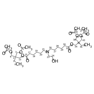 CCC(COC(C)=O)(COC(C)=O)COC(=O)CCCCCN(CCO)CCCCCC(=O)OCC(CC)(COC(C)=O)COC(C)=O